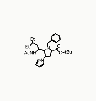 CCC(CC)C[C@H](NC(C)=O)[C@H]1[C@H](n2cccc2)C[C@H](C(=O)OC(C)(C)C)N1Cc1ccccc1